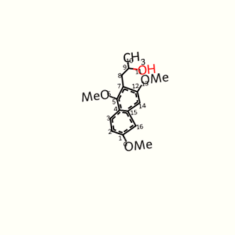 COc1ccc2c(OC)c(CC(C)O)c(OC)cc2c1